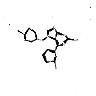 C[C@H]1CC[C@H](Cn2cnc3nc(C#N)nc(-c4cccc(Cl)c4)c32)CC1